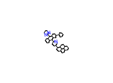 c1ccc(-c2ccc3c(-c4ncccn4)c4ccccc4c(-c4ccc(-c5ccc6ccc7cccc8ccc5c6c78)cn4)c3c2)cc1